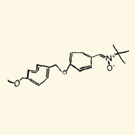 COc1ccc(COc2ccc(C=[N+]([O-])C(C)(C)C)cc2)cc1